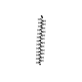 CCNNNNNNNNNNNNNNNNNNNNNNNNNC